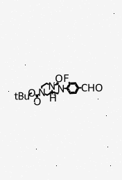 CC(C)(C)OC(=O)N1CCN2C(=O)N(c3ccc(C=O)cc3F)C[C@@H]2C1